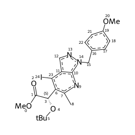 COC(=O)[C@@H](OC(C)(C)C)c1c(C)nc2c(cnn2Cc2ccc(OC)cc2)c1I